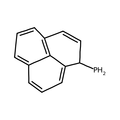 PC1C=Cc2cccc3cccc1c23